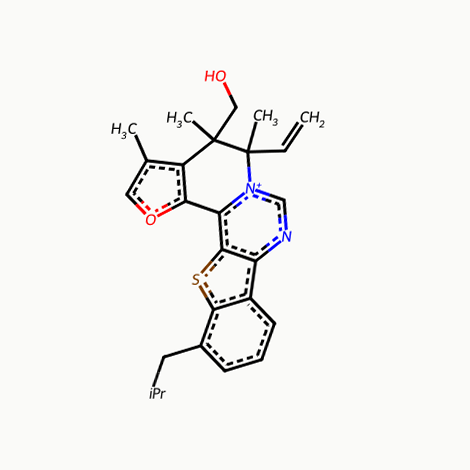 C=CC1(C)[n+]2cnc3c(sc4c(CC(C)C)cccc43)c2-c2occ(C)c2C1(C)CO